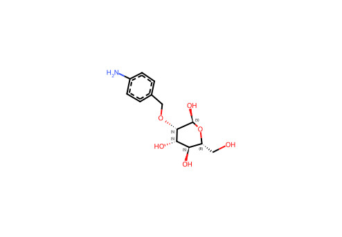 Nc1ccc(CO[C@H]2[C@@H](O)[C@H](O)[C@@H](CO)O[C@@H]2O)cc1